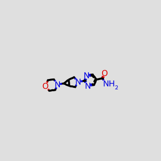 NC(=O)c1cnc(N2CC3C(C2)C3N2CCOCC2)nc1